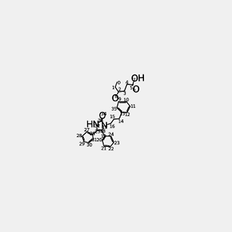 CCC(CCC(=O)O)Oc1cccc(CCCn2c(-c3ccccc3)c(-c3ccccc3)[nH]c2=O)c1